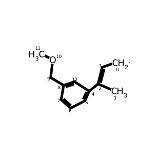 [CH2]C=C(C)c1cccc(COC)c1